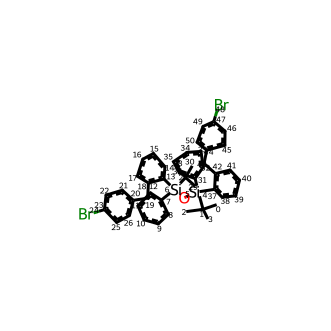 CC(C)(C)[Si](O[Si](c1ccccc1)(c1ccccc1Cc1ccc(Br)cc1)C(C)(C)C)(c1ccccc1)c1ccccc1Cc1ccc(Br)cc1